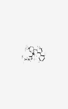 O=C(Nc1c(-c2cc(F)ccc2F)ccnc1C1CCC(F)(F)CO1)c1cnn(C(F)F)c1